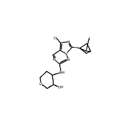 CC1C2CC1(c1nc(Cl)c3cnc(NC4CCOCC4O)nn13)C2